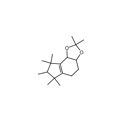 CC1C(C)(C)C2=C(C3OC(C)(C)OC3CC2)C1(C)C